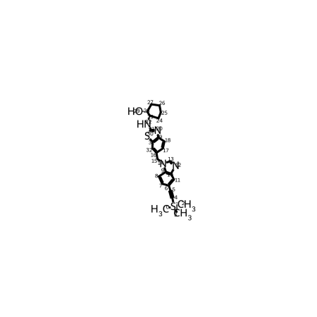 C[Si](C)(C)C#Cc1ccc2c(c1)ncn2Cc1ccc2nc(N[C@@H]3CCCC[C@H]3O)sc2c1